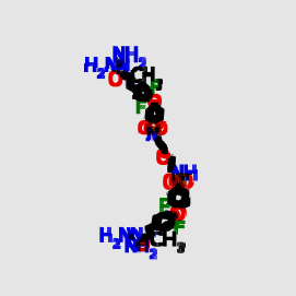 C/C(=C\c1cc(F)c(Oc2ccc(S(=O)(=O)/N=C/CCOCCNS(=O)(=O)c3ccc(Oc4c(F)cc(/C=C(\C)C(=O)N=C(N)N)cc4F)cc3)cc2)c(F)c1)C(=O)N=C(N)N